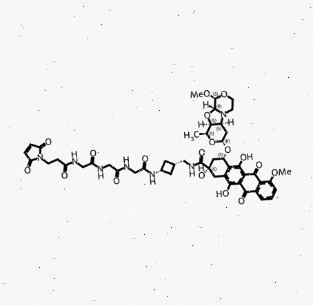 COc1cccc2c1C(=O)c1c(O)c3c(c(O)c1C2=O)C[C@@](O)(C(=O)NC[C@H]1C[C@@H](NC(=O)CNC(=O)CNC(=O)CNC(=O)CCN2C(=O)C=CC2=O)C1)C[C@@H]3O[C@H]1C[C@H]2[C@H](O[C@@H]3[C@@H](OC)OCCN32)[C@H](C)O1